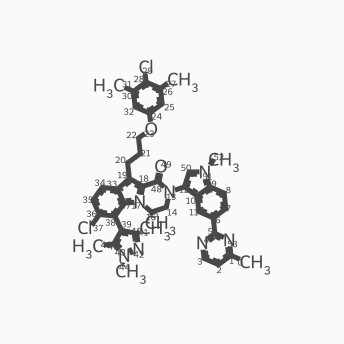 Cc1ccnc(-c2ccc3c(c2)c(N2C[C@@H](C)n4c(c(CCCOc5cc(C)c(Cl)c(C)c5)c5ccc(Cl)c(-c6c(C)nn(C)c6C)c54)C2=O)cn3C)n1